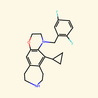 Fc1ccc(F)c(CN2CCOc3cc4c(c(C5CC5)c32)CCNCC4)c1